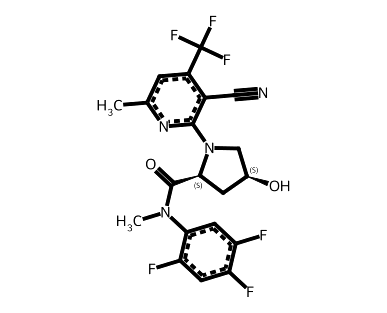 Cc1cc(C(F)(F)F)c(C#N)c(N2C[C@@H](O)C[C@H]2C(=O)N(C)c2cc(F)c(F)cc2F)n1